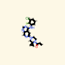 C=CC(=O)N1CCN(c2cc3c(Nc4cccc(Cl)c4F)ncnc3cn2)CC12CC2